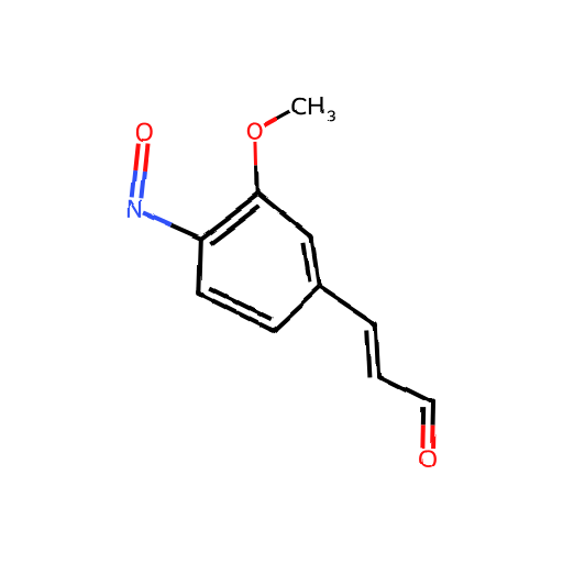 COc1cc(/C=C/C=O)ccc1N=O